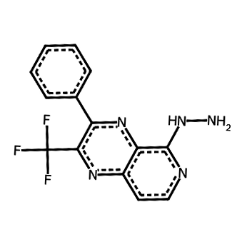 NNc1nccc2nc(C(F)(F)F)c(-c3ccccc3)nc12